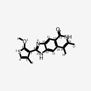 COc1scc(C)c1-c1nc2cc3c(=O)[nH]c(C)c(C)c3cc2[nH]1